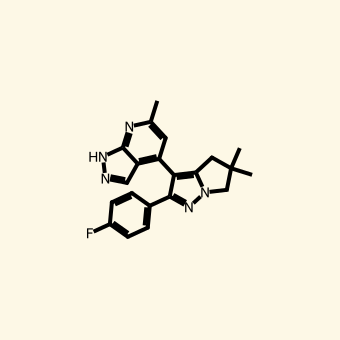 Cc1cc(-c2c(-c3ccc(F)cc3)nn3c2CC(C)(C)C3)c2cn[nH]c2n1